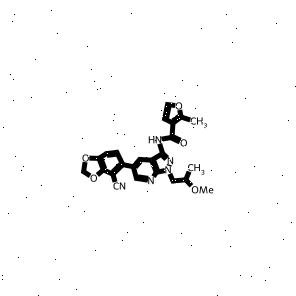 COC(C)Cn1nc(NC(=O)c2ccoc2C)c2cc(-c3ccc4c(c3C#N)OCO4)cnc21